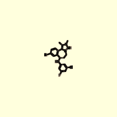 CC1=C2c3ccc(Br)cc3C(Nc3cc(F)cc(Cl)c3)CCN2NN1C